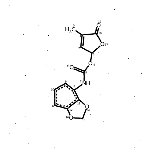 CC1=CC(OC(=O)Nc2cccc3c2OCO3)OC1=O